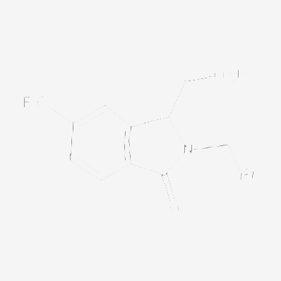 CCOC(=O)CC1c2cc(C(F)(F)F)ccc2C(=O)N1CC(C)C